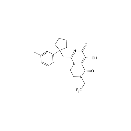 Cc1cccc(C2(Cc3nc(=O)c(O)c4n3CCN(CC(F)(F)F)C4=O)CCCC2)c1